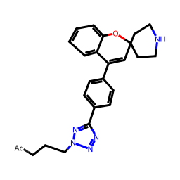 CC(=O)CCCn1nnc(-c2ccc(C3=CC4(CCNCC4)Oc4ccccc43)cc2)n1